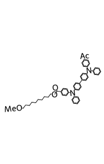 COCCCCCCCCCCOC(=O)c1ccc(N(c2ccccc2)c2ccc(-c3ccc(N(c4ccccc4)c4ccc(C(C)=O)cc4)cc3)cc2)cc1